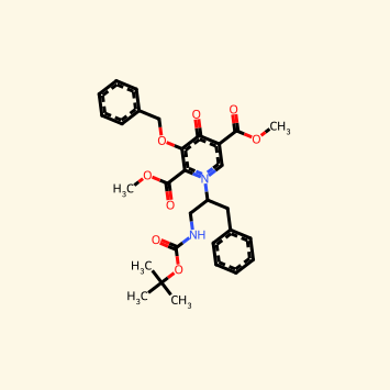 COC(=O)c1cn(C(CNC(=O)OC(C)(C)C)Cc2ccccc2)c(C(=O)OC)c(OCc2ccccc2)c1=O